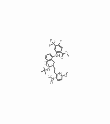 COC(=O)c1cc(F)c(C(F)(F)F)cc1Nc1cccc(Cl)c1CN(CCc1nc(OC)ccc1[N+](=O)[O-])C(=O)OC(C)(C)C